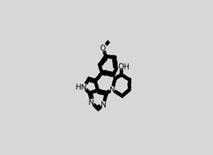 COc1cccc(-c2c[nH]c3ncnc(N4CCCC(O)C4)c23)c1